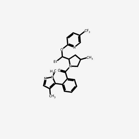 CCC(Oc1ccc(C(F)(F)F)cn1)C1CC(C)CN1C(=O)c1ccccc1-c1c(C)cnn1C